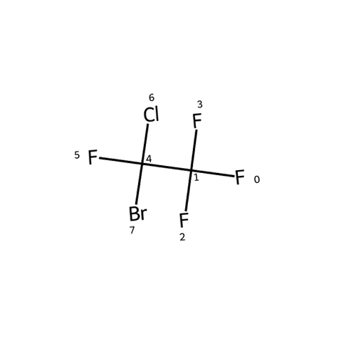 FC(F)(F)C(F)(Cl)Br